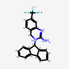 NC1=Nc2cc(C(F)(F)F)ccc2CN1C1c2ccccc2-c2ccccc21